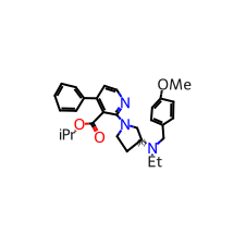 CCN(Cc1ccc(OC)cc1)[C@@H]1CCN(c2nccc(-c3ccccc3)c2C(=O)OC(C)C)C1